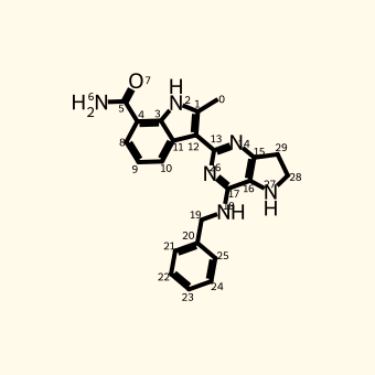 Cc1[nH]c2c(C(N)=O)cccc2c1-c1nc2c(c(NCc3ccccc3)n1)NCC2